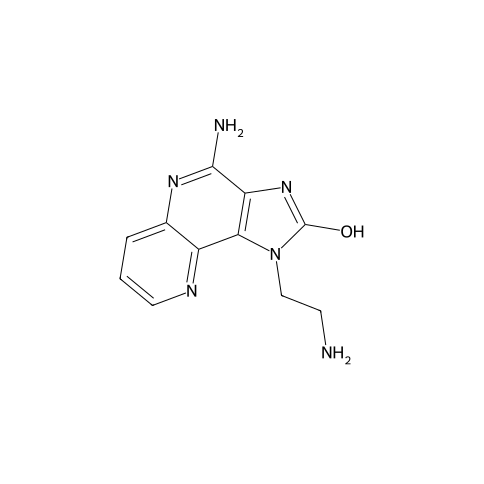 NCCn1c(O)nc2c(N)nc3cccnc3c21